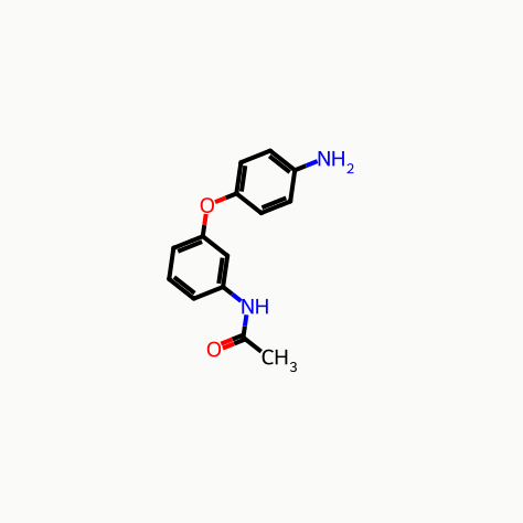 CC(=O)Nc1cccc(Oc2ccc(N)cc2)c1